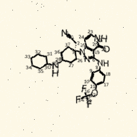 N#CC[C@]1(n2nc(Nc3ccc(OC(F)(F)F)cc3)c3c(=O)[nH]ccc32)CC[C@@H](NC2CCCCC2)CC1